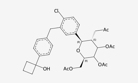 CC(=O)C[C@@H]1C(OC(C)=O)C(OC(C)=O)[C@@H](COC(C)=O)O[C@H]1c1ccc(Cl)c(Cc2ccc(C3(O)CCC3)cc2)c1